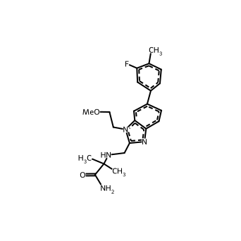 COCCn1c(CNC(C)(C)C(N)=O)nc2ccc(-c3ccc(C)c(F)c3)cc21